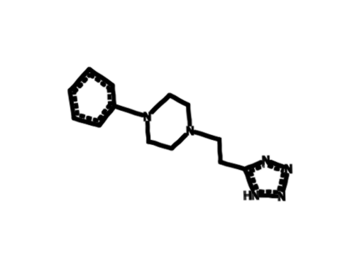 c1ccc(N2CCN(CCc3nnn[nH]3)CC2)cc1